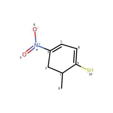 CC1CC([N+](=O)[O-])=CC=C1S